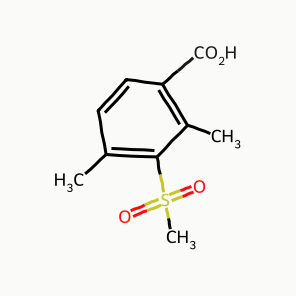 Cc1ccc(C(=O)O)c(C)c1S(C)(=O)=O